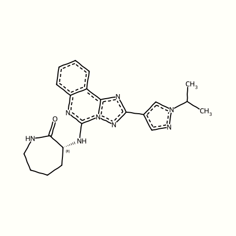 CC(C)n1cc(-c2nc3c4ccccc4nc(N[C@@H]4CCCCNC4=O)n3n2)cn1